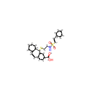 O=C(O)c1ccc2c(c1)C(SCCNS(=O)(=O)/C=C/c1ccccc1)c1ccccc1C=C2